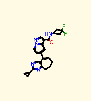 O=C(NC1CC(F)(F)C1)c1cnn2ccc(C3=CCCCc4nc(C5CC5)ncc43)cc12